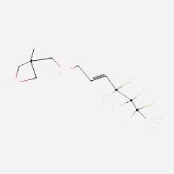 CC1(COCC=CC(F)(F)C(F)(F)C(F)(F)C(F)(F)F)COC1